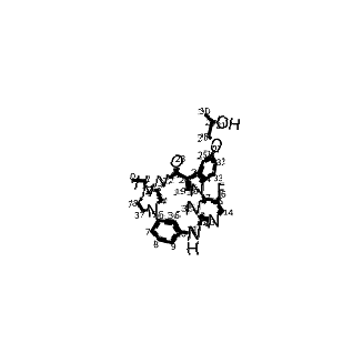 CCN1CCN(c2cccc(Nc3ncc(F)c(-n4cc(C(N)=O)c5cc(OCC(C)O)ccc54)n3)c2)CC1